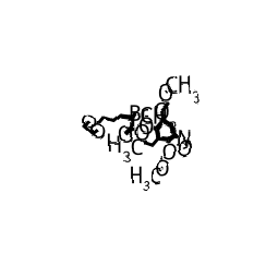 COCOc1cc(N=O)c(OCOC)c(CC(C)OC(=O)/C(Br)=C\CCC2OCCO2)c1OC